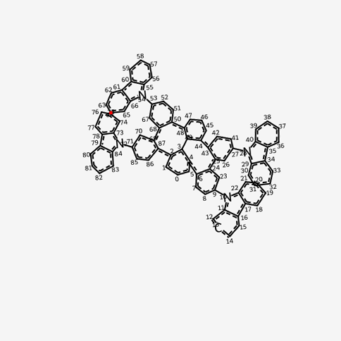 c1cc2c3c(c1)c1ccc(-n4c5ccccc5c5ccccc54)cc1c1cc(-n4c5ccccc5c5ccccc54)ccc1c1cccc(c1-3)c1ccc(-n3c4ccccc4c4ccccc43)cc1c1cc(-n3c4ccccc4c4ccccc43)ccc21